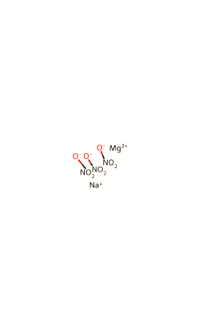 O=[N+]([O-])[O-].O=[N+]([O-])[O-].O=[N+]([O-])[O-].[Mg+2].[Na+]